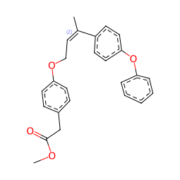 COC(=O)Cc1ccc(OC/C=C(/C)c2ccc(Oc3ccccc3)cc2)cc1